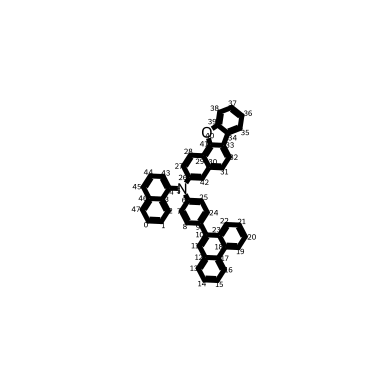 c1ccc2c(N(c3ccc(-c4cc5ccccc5c5ccccc45)cc3)c3ccc4c(ccc5c6ccccc6oc45)c3)cccc2c1